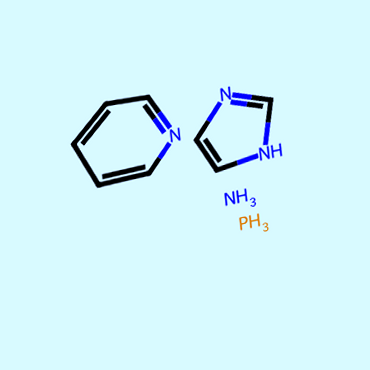 N.P.c1c[nH]cn1.c1ccncc1